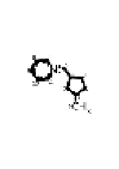 CC1CCC(C[n+]2ccccc2)C1